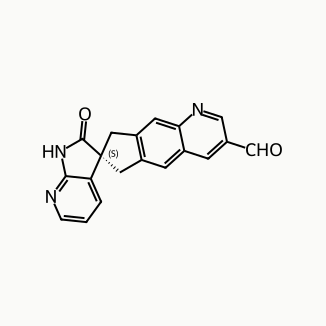 O=Cc1cnc2cc3c(cc2c1)C[C@@]1(C3)C(=O)Nc2ncccc21